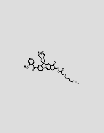 C=CCCC1(CCC=C)c2cc(C(=O)c3ccccc3C)ccc2-c2cc3c(cc21)C(=O)/C(=N/OC(=O)COCCCC)C3